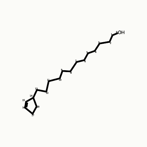 OCCCCCCCCCCCCCC1C=CCC1